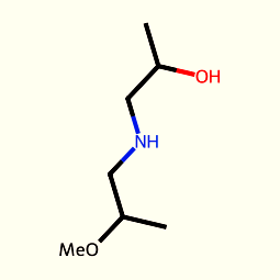 COC(C)CNCC(C)O